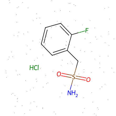 Cl.NS(=O)(=O)Cc1ccccc1F